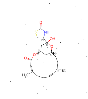 CC[C@@H]1C=CCCC(C)=CC(=O)O[C@@H]2C[C@@H](CC1)O[C@@](O)([C@@H]1CSC(=O)N1)C2